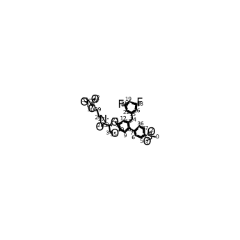 CS(=O)(=O)c1ccc(-c2cc3c(cc2Cc2cc(F)cc(F)c2)OC(C(=O)[N]CCO[N+](=O)[O-])CO3)cc1